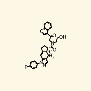 C[C@]12Cc3cnn(-c4ccc(F)cc4)c3C=C1CC[C@@H]2C(=O)N(CCO)CC(=O)c1coc2ccccc12